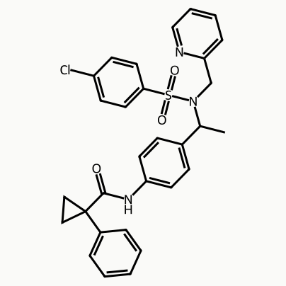 CC(c1ccc(NC(=O)C2(c3ccccc3)CC2)cc1)N(Cc1ccccn1)S(=O)(=O)c1ccc(Cl)cc1